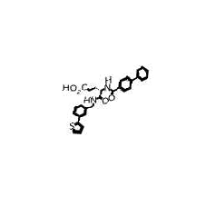 O=C(O)CC[C@H](NC(=O)c1ccc(-c2ccccc2)cc1)C(=O)NCc1cccc(-c2cccs2)c1